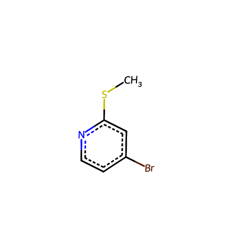 CSc1cc(Br)ccn1